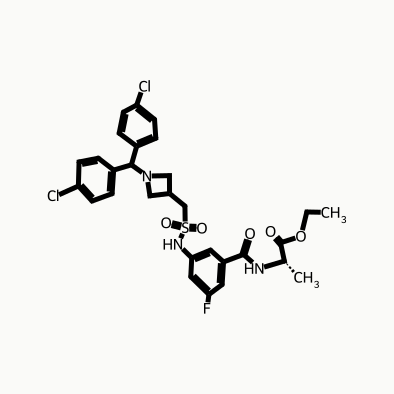 CCOC(=O)[C@H](C)NC(=O)c1cc(F)cc(NS(=O)(=O)CC2CN(C(c3ccc(Cl)cc3)c3ccc(Cl)cc3)C2)c1